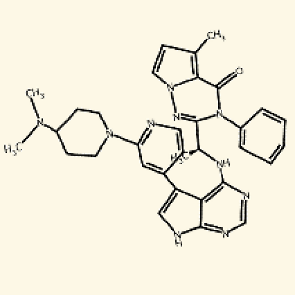 Cc1ccn2nc([C@H](C)Nc3ncnc4[nH]cc(-c5ccnc(N6CCC(N(C)C)CC6)c5)c34)n(-c3ccccc3)c(=O)c12